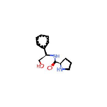 O=C(N[C@@H](CO)c1ccccc1)[C@H]1CCCN1